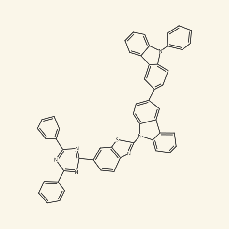 c1ccc(-c2nc(-c3ccccc3)nc(-c3ccc4nc(-n5c6ccccc6c6cc(-c7ccc8c(c7)c7ccccc7n8-c7ccccc7)ccc65)sc4c3)n2)cc1